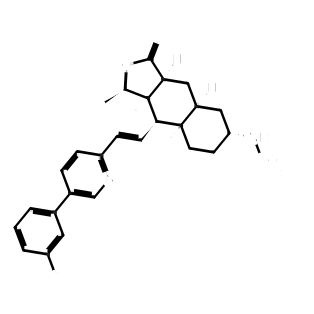 CCOC(=O)N[C@@H]1CC[C@@H]2[C@H](C1)C[C@@H]1C(=O)O[C@H](C)[C@@H]1[C@@H]2/C=C/c1ccc(-c2cccc(F)c2)cn1